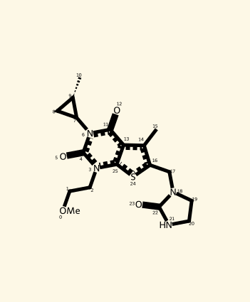 COCCn1c(=O)n(C2C[C@@H]2C)c(=O)c2c(C)c(CN3CCNC3=O)sc21